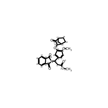 COC(=O)CC(c1ccc(OC)c(OC2C(=O)C3CCC2C3)c1)N1C(=O)c2ccccc2C1=O